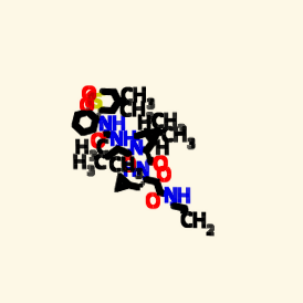 C=CCNC(=O)C(=O)[C@H](CC1CC1)NC(=O)[C@@H]1[C@@H]2[C@H](CN1C(=O)[C@@H](NC(=O)NC1([C@H]3CC(C)(C)CCS3(=O)=O)CCCCC1)C(C)(C)C)C2(C)C